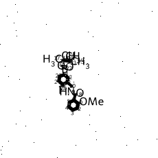 COc1ccccc1C(=O)NCc1cc(B2OC(C)(C)C(C)(C)O2)ccc1F